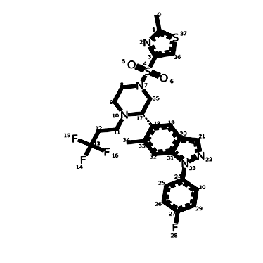 Cc1nc(S(=O)(=O)N2CCN(CCC(F)(F)F)[C@@H](c3cc4cnn(-c5ccc(F)cc5)c4cc3C)C2)cs1